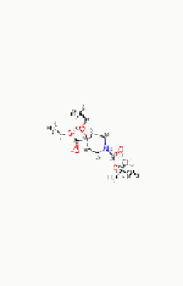 CCOC(=O)C1(OCC)CCN(C(=O)OC(C)(C)C)CC1